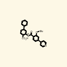 CCCCOc1cc(-c2ccncc2)ccc1C(=O)Nc1cc(-c2ccccc2)ccc1C(=O)O